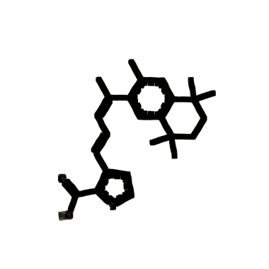 C/C(=C/C=C/c1ccsc1C(=O)O)c1cc2c(cc1C)C(C)(C)CCC2(C)C